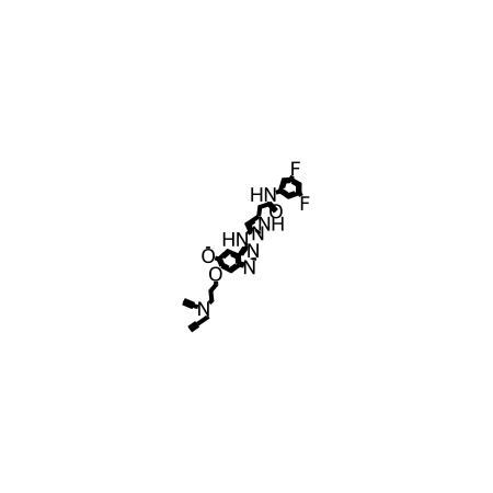 C#CCN(C#C)CCCOc1cc2ncnc(Nc3cc(CC(=O)Nc4cc(F)cc(F)c4)[nH]n3)c2cc1OC